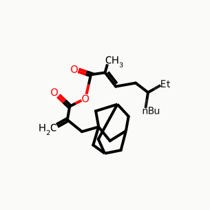 C=C(CC12CC3CC(CC(C3)C1)C2)C(=O)OC(=O)C(C)=CCC(CC)CCCC